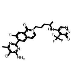 Cc1nc(-c2cc3ccn(CCCC(C)Nc4cn[nH]c(=O)c4C(F)(F)F)c(=O)c3cc2F)nc(N)c1Cl